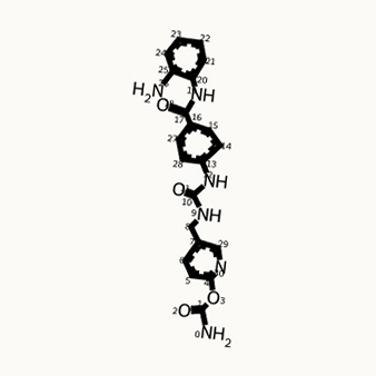 NC(=O)Oc1ccc(CNC(=O)Nc2ccc(C(=O)Nc3ccccc3N)cc2)cn1